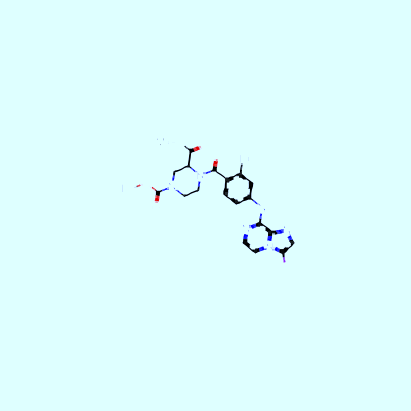 CCc1cc(Nc2nccn3c(I)cnc23)ccc1C(=O)N1CCN(C(=O)OC(C)(C)C)CC1C(=O)OC